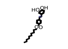 CCCCCCCCCCOC(=O)c1ccc(/C=C/c2ccc(O)c(O)c2)cc1